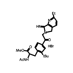 Br.CCc1ccc2c(n1)C(=N)N(CC(=O)c1ccc(CC(NC(C)=O)C(=O)OC)c(C(C)(C)C)c1)C2